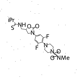 CNS(=O)(=O)N1CCN(c2c(F)cc(N3CC(CNC(=S)C(C)C)OC3=O)cc2F)CC1